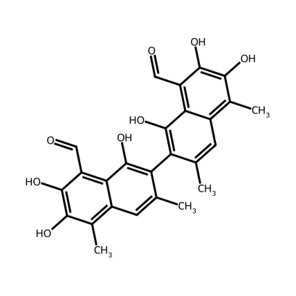 Cc1cc2c(C)c(O)c(O)c(C=O)c2c(O)c1-c1c(C)cc2c(C)c(O)c(O)c(C=O)c2c1O